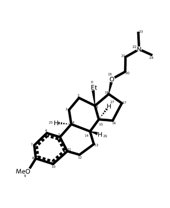 CC[C@]12CC[C@@H]3c4ccc(OC)cc4CC[C@H]3[C@@H]1CC[C@@H]2OCCN(C)C